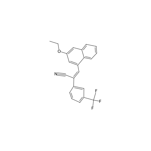 CCOc1cc(/C=C(\C#N)c2cccc(C(F)(F)F)c2)c2ccccc2c1